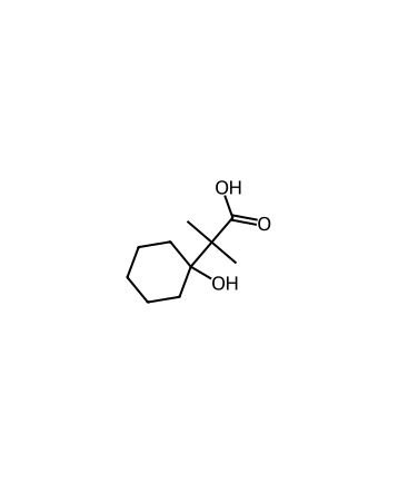 CC(C)(C(=O)O)C1(O)CCCCC1